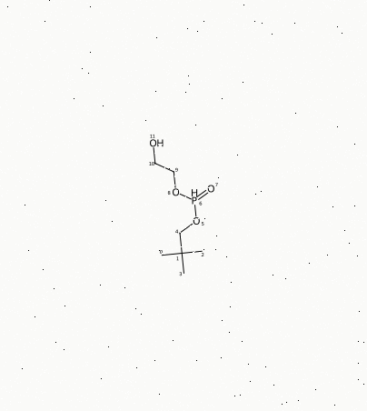 CC(C)(C)CO[PH](=O)OCCO